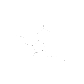 CCCCn1[nH]c(CC(C)C)c(CCC)c1=O